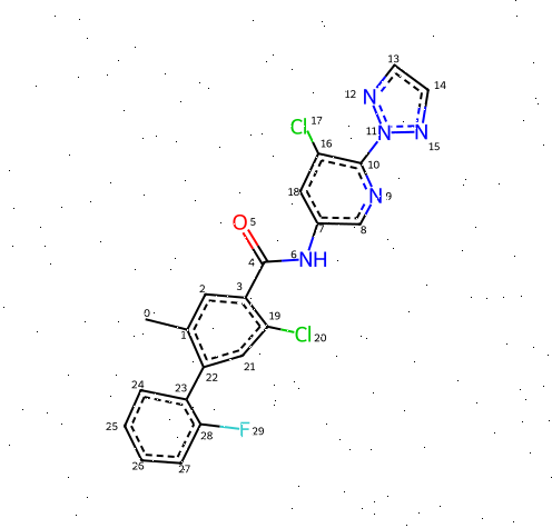 Cc1cc(C(=O)Nc2cnc(-n3nccn3)c(Cl)c2)c(Cl)cc1-c1ccccc1F